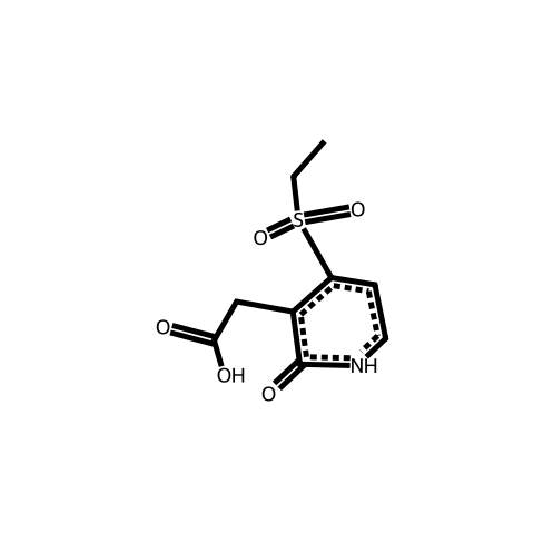 CCS(=O)(=O)c1cc[nH]c(=O)c1CC(=O)O